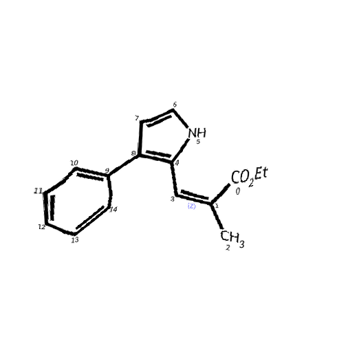 CCOC(=O)/C(C)=C\c1[nH]ccc1-c1ccccc1